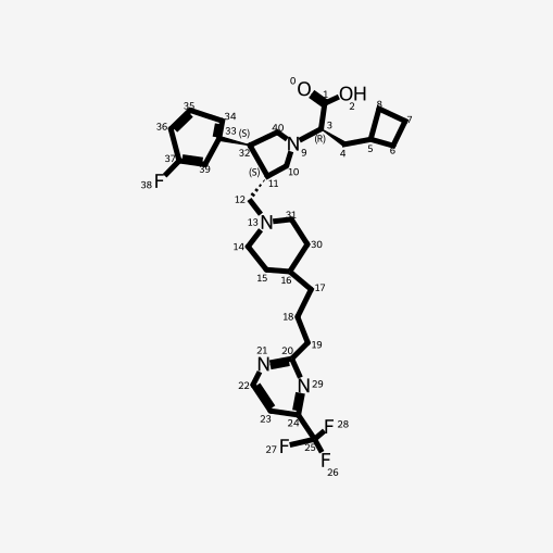 O=C(O)[C@@H](CC1CCC1)N1C[C@H](CN2CCC(CCCc3nccc(C(F)(F)F)n3)CC2)[C@@H](c2cccc(F)c2)C1